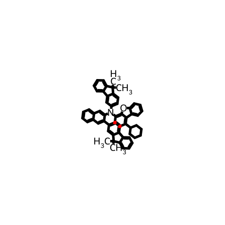 CC1(C)c2ccccc2-c2cc(N(c3cc4ccccc4cc3-c3ccc4c(c3)C(C)(C)c3ccccc3-4)c3ccc(C4CCCCC4)c4c3oc3ccccc34)ccc21